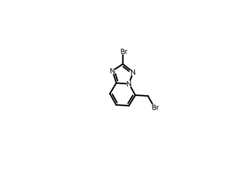 BrCc1cccc2nc(Br)nn12